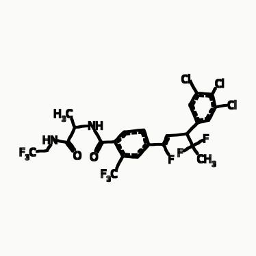 CC(NC(=O)c1ccc(/C(F)=C/C(c2cc(Cl)c(Cl)c(Cl)c2)C(C)(F)F)cc1C(F)(F)F)C(=O)NCC(F)(F)F